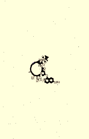 CC[C@@H]1C[C@@H](C)CC/C=C\C2CC2(C(=O)NS(=O)(=O)C2(C)CC2)NC(=O)[C@@H]2C[C@@H](Oc3nccc4cc(OC)ccc34)CN2C(=O)[C@H]1NC(=O)O